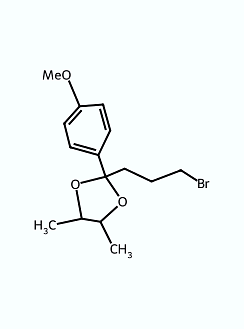 COc1ccc(C2(CCCBr)OC(C)C(C)O2)cc1